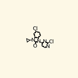 O=c1n(-c2ccnc(Cl)n2)c2ccc(Cl)cc2n1C1CC1